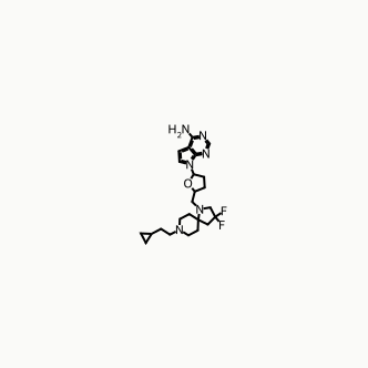 Nc1ncnc2c1ccn2C1CCC(CN2CC(F)(F)CC23CCN(CCC2CC2)CC3)O1